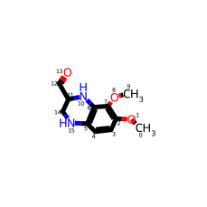 COc1ccc2c(c1OC)NC(C=O)CN2